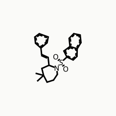 CC1(C)CCCN(S(=O)(=O)c2ccc3ccccc3c2)C(C=Cc2ccccc2)C1